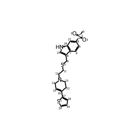 CS(=O)(=O)c1ccc2c(CSCCN3CC=C(c4cccs4)CC3)c[nH]c2c1